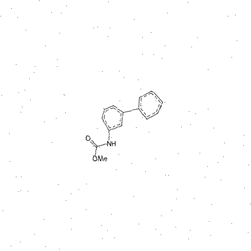 COC(=O)Nc1cccc(-c2cc[c]cc2)c1